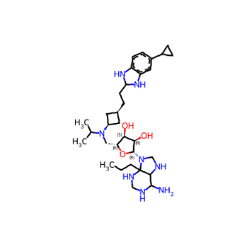 CCCC12NCNC(N)C1NCN2[C@@H]1O[C@H](CN(C(C)C)[C@H]2C[C@@H](CCC3Nc4ccc(C5CC5)cc4N3)C2)[C@@H](O)[C@H]1O